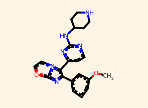 COc1cccc(-c2nc3occn3c2-c2ccnc(NC3CCNCC3)n2)c1